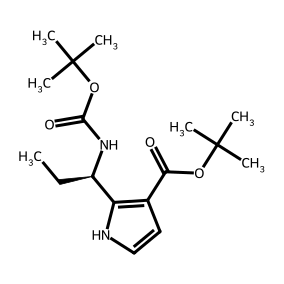 CC[C@@H](NC(=O)OC(C)(C)C)c1[nH]ccc1C(=O)OC(C)(C)C